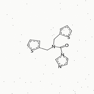 O=C(N(Cc1cccs1)Cc1cccs1)n1ccnc1